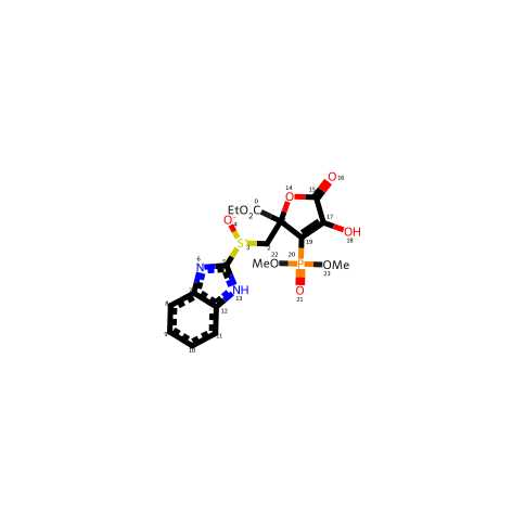 CCOC(=O)C1(C[S+]([O-])c2nc3ccccc3[nH]2)OC(=O)C(O)=C1P(=O)(OC)OC